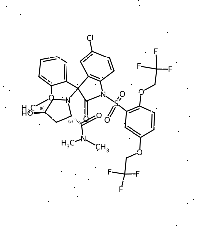 COc1ccccc1C1(N2C[C@H](O)C[C@H]2C(=O)N(C)C)C(=O)N(S(=O)(=O)c2cc(OCC(F)(F)F)ccc2OCC(F)(F)F)c2ccc(Cl)cc21